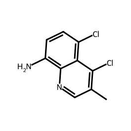 Cc1cnc2c(N)ccc(Cl)c2c1Cl